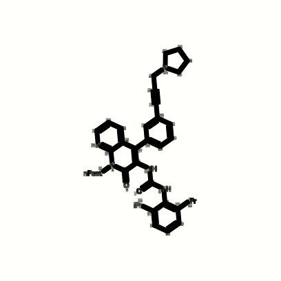 CCCCCn1c(=O)c(NC(=O)Nc2c(C(C)C)cccc2C(C)C)c(-c2cccc(C#CCN3CCCC3)c2)c2cccnc21